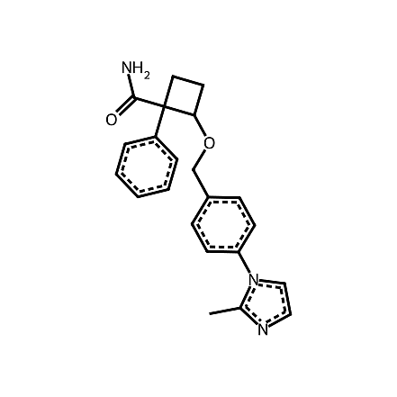 Cc1nccn1-c1ccc(COC2CCC2(C(N)=O)c2ccccc2)cc1